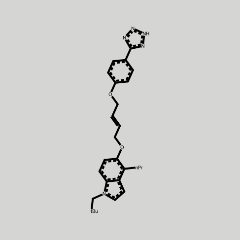 CCCc1c(OCC=CCOc2ccc(-c3nn[nH]n3)cc2)ccc2c1ccn2CC(C)(C)C